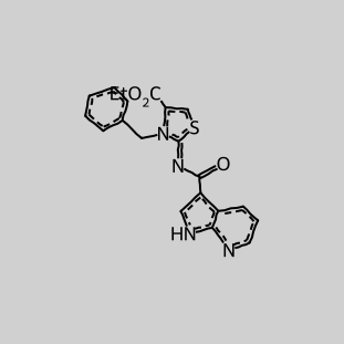 CCOC(=O)c1cs/c(=N\C(=O)c2c[nH]c3ncccc23)n1Cc1ccccc1